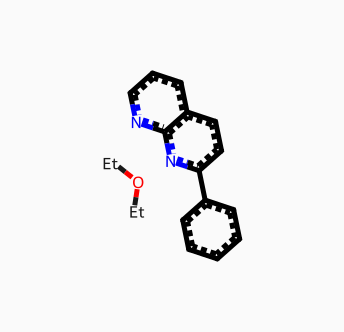 CCOCC.c1ccc(-c2ccc3cccnc3n2)cc1